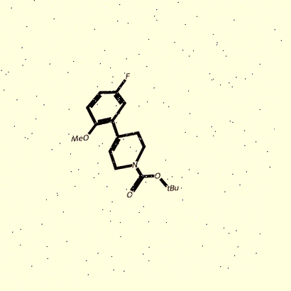 COc1ccc(F)cc1C1=CCN(C(=O)OC(C)(C)C)CC1